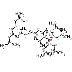 C=C(O)CCSP(CC(C)C)OC(C)CSP(CC(C)CSP(CC(C)C)CC(C)C)OC(C)CSP(CC(C)C)OC(C)C